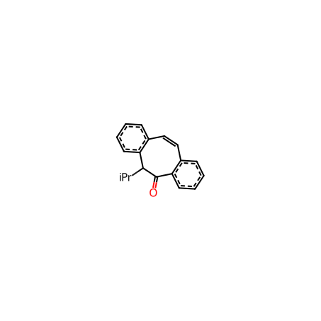 CC(C)C1C(=O)c2ccccc2/C=C\c2ccccc21